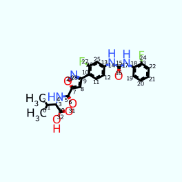 CC(C)[C@H](NC(=O)c1cc(-c2ccc(NC(=O)Nc3ccccc3F)cc2F)no1)C(=O)O